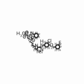 CS(=O)(=O)CCN(CCCn1cc2ncnc(Nc3ccc(OCc4cccc(F)c4)c(Cl)c3)c2n1)S(=O)(=O)c1ccccc1[N+](=O)[O-]